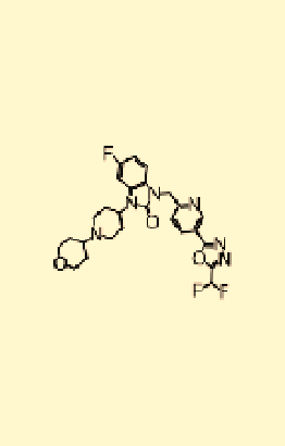 O=c1n(Cc2ccc(-c3nnc(C(F)F)o3)cn2)c2ccc(F)cc2n1C1CCN(C2CCOCC2)CC1